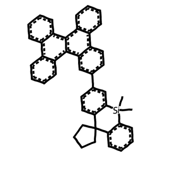 C[Si]1(C)c2ccccc2C2(CCCC2)c2ccc(-c3ccc4c5ccccc5c5c6ccccc6c6ccccc6c5c4c3)cc21